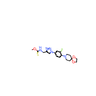 COC(=S)NCc1cn(-c2ccc(N3CCC4(CC3)OCCO4)c(F)c2)nn1